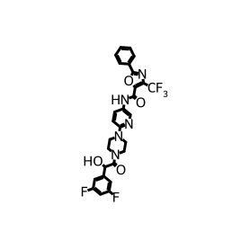 O=C(Nc1ccc(N2CCN(C(=O)C(O)c3cc(F)cc(F)c3)CC2)nc1)c1oc(-c2ccccc2)nc1C(F)(F)F